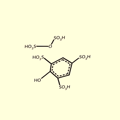 O=S(=O)(O)OS(=O)(=O)O.O=S(=O)(O)c1cc(S(=O)(=O)O)c(O)c(S(=O)(=O)O)c1